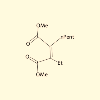 CCCCC/C(C(=O)OC)=C(\CC)C(=O)OC